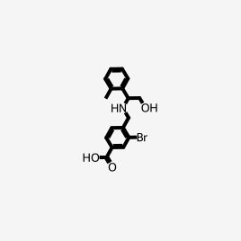 Cc1ccccc1C(CO)NCc1ccc(C(=O)O)cc1Br